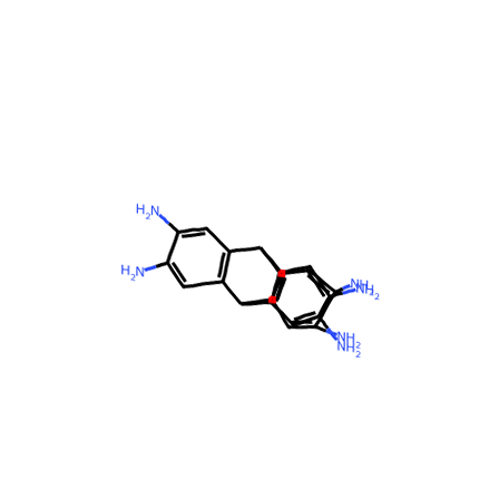 Nc1cc2c(cc1N)C1c3cc(N)c(N)cc3C2c2cc(N)c(N)cc21